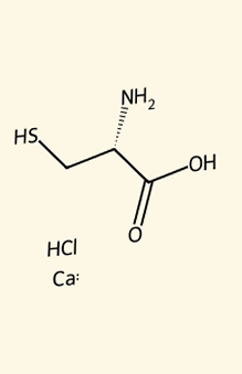 Cl.N[C@@H](CS)C(=O)O.[Ca]